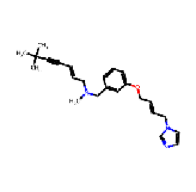 CN(CC=CC#CC(C)(C)C)Cc1cccc(OCC=CCn2ccnc2)c1